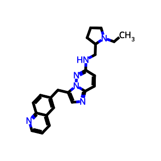 CCN1CCCC1CNc1ccc2ncc(Cc3ccc4ncccc4c3)n2n1